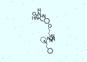 O=c1[nH]c2cc3cc(OCCCc4nnnn4C4CCCCN4CCc4ccccc4)ccc3nc2[nH]1